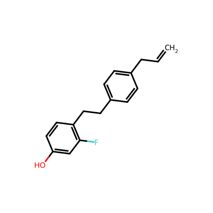 C=CCc1ccc(CCc2ccc(O)cc2F)cc1